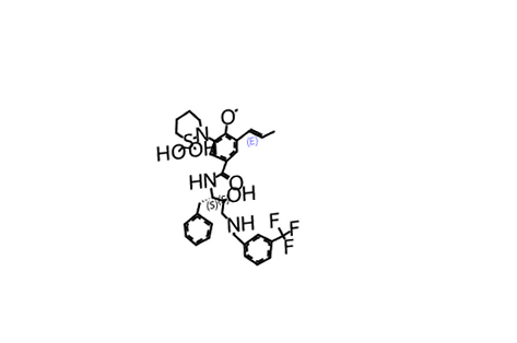 C/C=C/c1cc(C(=O)N[C@@H](Cc2ccccc2)[C@@H](O)CNCc2cccc(C(F)(F)F)c2)cc(N2CCCCS2(O)O)c1OC